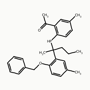 CCCC(C)(Pc1ccc(C)cc1C(C)=O)c1cc(C)ccc1OCc1ccccc1